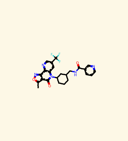 Cc1onc2c1c(=O)n(C1CCCC(CNC(=O)c3cccnc3)C1)c1cc(C(F)(F)F)cnc21